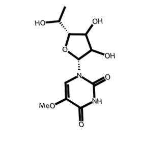 COc1cn([C@@H]2O[C@H](C(C)O)C(O)C2O)c(=O)[nH]c1=O